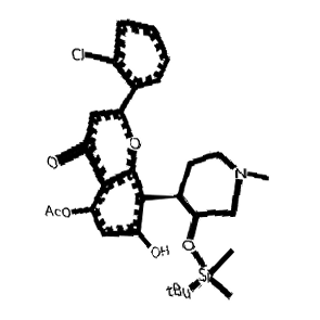 CC(=O)Oc1cc(O)c([C@H]2CCN(C)CC2O[Si](C)(C)C(C)(C)C)c2oc(-c3ccccc3Cl)cc(=O)c12